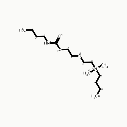 CCCCNC(=O)OCCOCC[N+](C)(C)CCCC